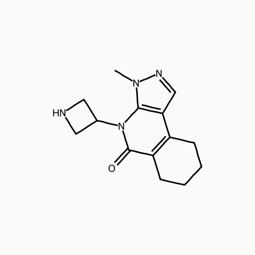 Cn1ncc2c3c(c(=O)n(C4CNC4)c21)CCCC3